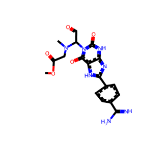 COC(=O)CN(C)C(C=O)n1c(=O)[nH]c2nc(-c3ccc(C(=N)N)cc3)[nH]c2c1=O